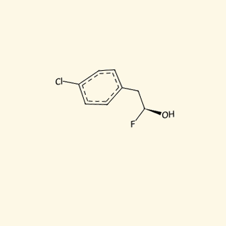 O[C@@H](F)Cc1ccc(Cl)cc1